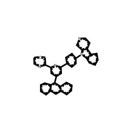 c1ccc(-c2cc(-c3c4ccccc4cc4ccccc34)cc(-c3ccc(-n4c5ccccc5c5ccncc54)cc3)n2)nc1